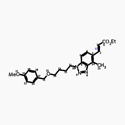 CCOC(=O)/C=C/c1ccc2c(nnn2CCCCOCc2ccc(OC)cc2)c1C